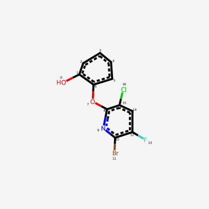 Oc1ccccc1Oc1nc(Br)c(F)cc1Cl